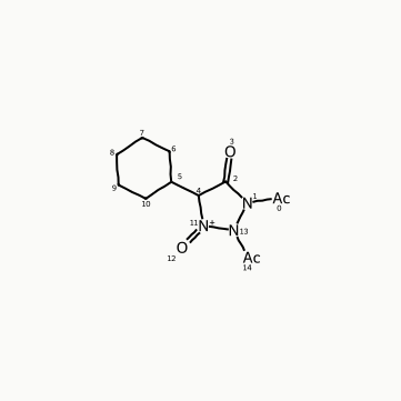 CC(=O)N1C(=O)C(C2CCCCC2)[N+](=O)N1C(C)=O